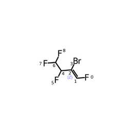 F/C=C(\Br)C(F)C(F)F